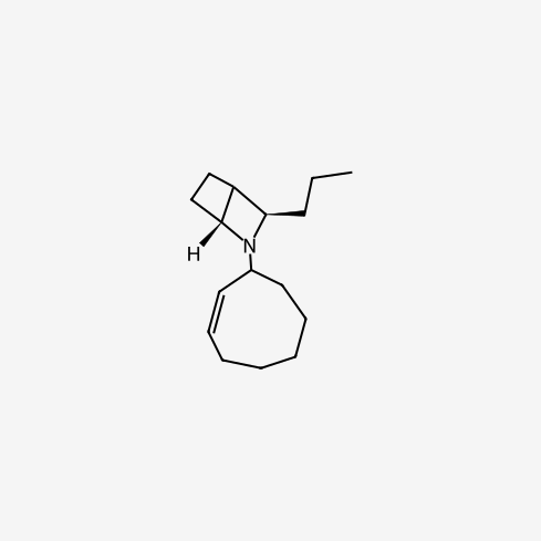 CCC[C@@H]1C2CC[C@H]2N1C1/C=C\CCCCC1